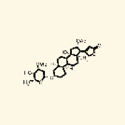 CO[C@H]1C[C@H](O[C@H]2CC[C@]3(C)C4CC[C@]5(C)C(C6=CC(=O)OC6)[C@@H](OC(C)=O)C[C@]5(O)C4CC[C@@H]3C2)O[C@@H](C)[C@@H]1O